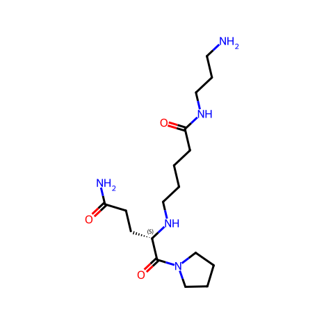 NCCCNC(=O)CCCCN[C@@H](CCC(N)=O)C(=O)N1CCCC1